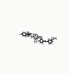 Cc1ccc(S(=O)(=O)N(C)CC(=O)N[C@@H](Cc2ccc(C#Cc3cccc(O)c3)cc2)C(=O)O)cc1